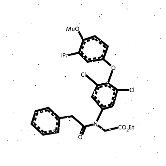 CCOC(=O)CN(C(=O)Cc1ccccc1)c1cc(Cl)c(Oc2ccc(OC)c(C(C)C)c2)c(Cl)c1